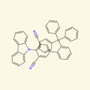 N#Cc1cc(-c2ccccc2[Si](c2ccccc2)(c2ccccc2)c2ccccc2)cc(C#N)c1-n1c2ccccc2c2ccccc21